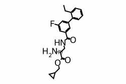 CCc1ccccc1-c1cc(F)cc(C(=O)NC[C@@H](N)C(=O)OCC2CC2)c1